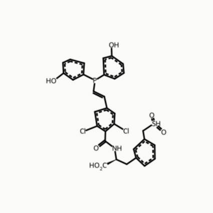 O=C(N[C@@H](Cc1cccc(C[SH](=O)=O)c1)C(=O)O)c1c(Cl)cc(/C=C/P(c2cccc(O)c2)c2cccc(O)c2)cc1Cl